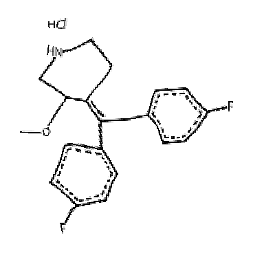 COC1CNCCC1=C(c1ccc(F)cc1)c1ccc(F)cc1.Cl